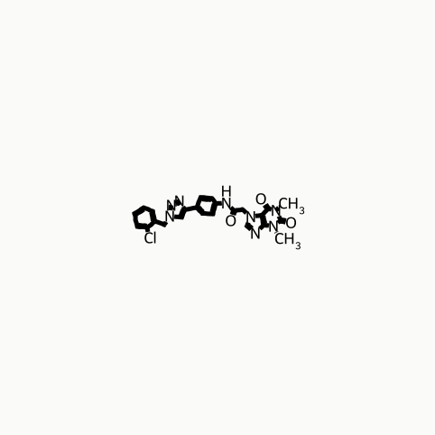 Cn1c(=O)c2c(ncn2CC(=O)Nc2ccc(-c3cn(Cc4ccccc4Cl)nn3)cc2)n(C)c1=O